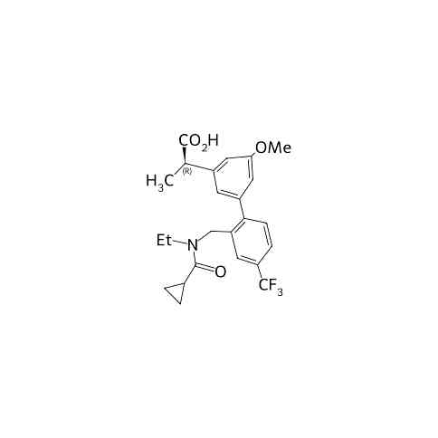 CCN(Cc1cc(C(F)(F)F)ccc1-c1cc(OC)cc([C@@H](C)C(=O)O)c1)C(=O)C1CC1